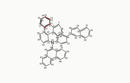 c1ccc(-c2ccccc2-c2c(-c3ccccc3)cccc2N(c2ccc(-c3ccc4ccccc4c3)cc2)c2cc3ccccc3c3ccccc23)cc1